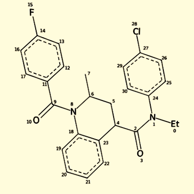 CCN(C(=O)C1CC(C)N(C(=O)c2ccc(F)cc2)c2ccccc21)c1ccc(Cl)cc1